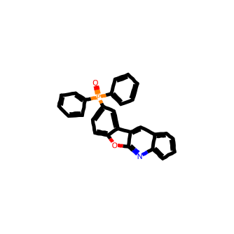 O=P(c1ccccc1)(c1ccccc1)c1ccc2oc3nc4ccccc4cc3c2c1